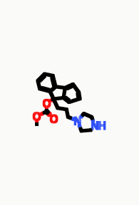 COC(=O)OC1(CCCN2CCNCC2)c2ccccc2-c2ccccc21